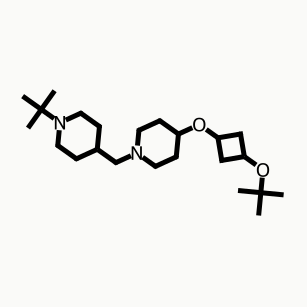 CC(C)(C)OC1CC(OC2CCN(CC3CCN(C(C)(C)C)CC3)CC2)C1